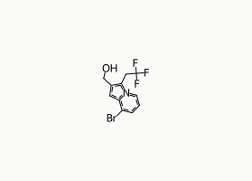 OCc1cc2c(Br)cccn2c1CC(F)(F)F